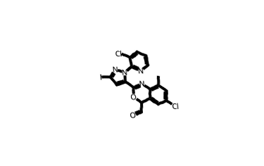 Cc1cc(Cl)cc2c1N=C(c1cc(I)nn1-c1ncccc1Cl)OC2C=O